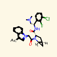 CC(=O)c1cn(CC(=O)N2[C@@H]3C[C@@H]3C[C@H]2C(=O)N[C@H](CN(C)C)c2cccc(Cl)c2F)c2ccccc12